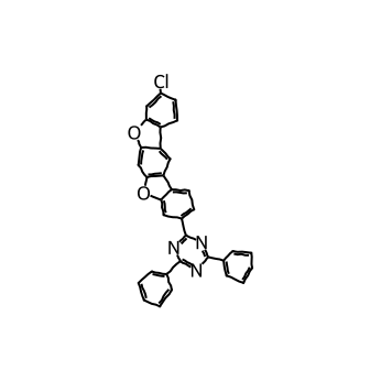 Clc1ccc2c(c1)oc1cc3oc4cc(-c5nc(-c6ccccc6)nc(-c6ccccc6)n5)ccc4c3cc12